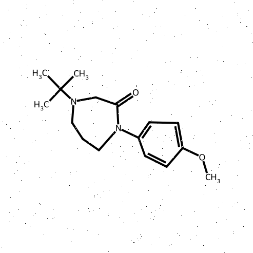 COc1ccc(N2CCCN(C(C)(C)C)CC2=O)cc1